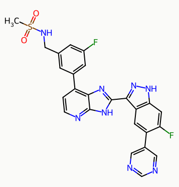 CS(=O)(=O)NCc1cc(F)cc(-c2ccnc3[nH]c(-c4n[nH]c5cc(F)c(-c6cncnc6)cc45)nc23)c1